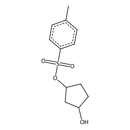 Cc1ccc(S(=O)(=O)OC2CCC(O)C2)cc1